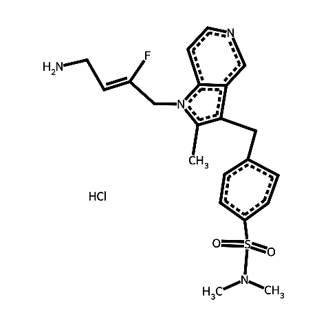 Cc1c(Cc2ccc(S(=O)(=O)N(C)C)cc2)c2cnccc2n1C/C(F)=C/CN.Cl